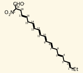 CC/C=C/C/C=C/C/C=C/C=C/C=C/C=C/C/C=C/CC([C]=O)[N+](=O)[O-]